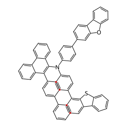 c1ccc(-c2ccc(-c3c(N(c4ccc(-c5ccc6c(c5)oc5ccccc56)cc4)c4ccc(-c5cccc6c5sc5ccccc56)cc4)c4ccccc4c4ccccc34)cc2)cc1